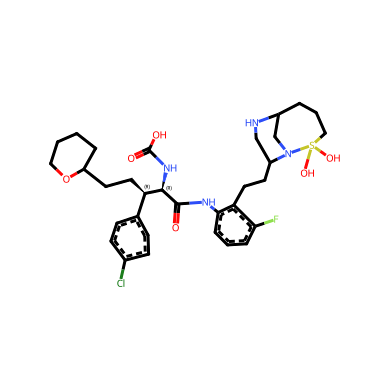 O=C(O)N[C@@H](C(=O)Nc1cccc(F)c1CCC1CNC2CCCS(O)(O)N1C2)[C@H](CCC1CCCCO1)c1ccc(Cl)cc1